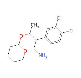 CC(OC1CCCCO1)C(CN)c1ccc(Cl)c(Cl)c1